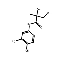 BCC(C)(O)C(=O)Nc1ccc(C#N)c(C(F)(F)F)c1